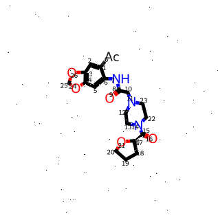 CC(=O)c1cc2c(cc1NC(=O)CN1CCN(C(=O)[C@H]3CCCO3)CC1)OCO2